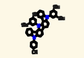 CC(C)(C)c1cc(-n2c3ccccc3c3c2ccc2c4ccc5c(c6ccccc6n5-c5ccc(C#N)cc5)c4n(-c4cc(C(C)(C)C)cc(C(C)(C)C)c4)c23)cc(C(C)(C)C)c1